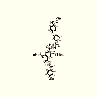 CCCCCCOc1cc(C(=O)NNC(=O)c2cccc(Oc3ccc(NOO)cc3)c2)c(OCCCCCC)cc1C(=O)NNC(=O)c1ccc(C(C)(C)C)cc1